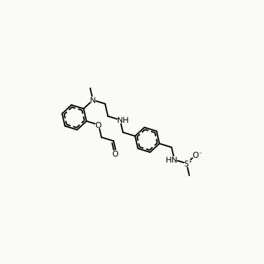 CN(CCNCc1ccc(CN[S+](C)[O-])cc1)c1ccccc1OCC=O